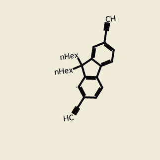 C#Cc1[c]c2c(cc1)-c1ccc(C#C)cc1C2(CCCCCC)CCCCCC